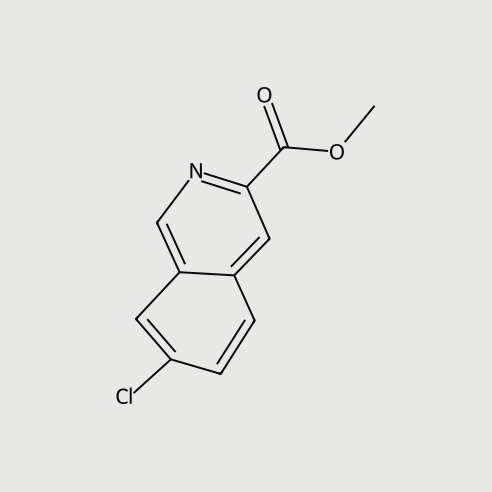 COC(=O)c1cc2ccc(Cl)cc2cn1